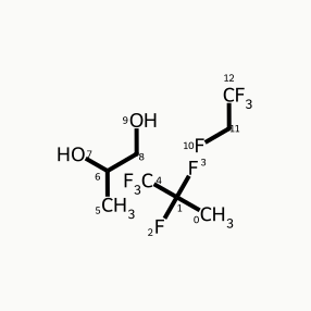 CC(F)(F)C(F)(F)F.CC(O)CO.FCC(F)(F)F